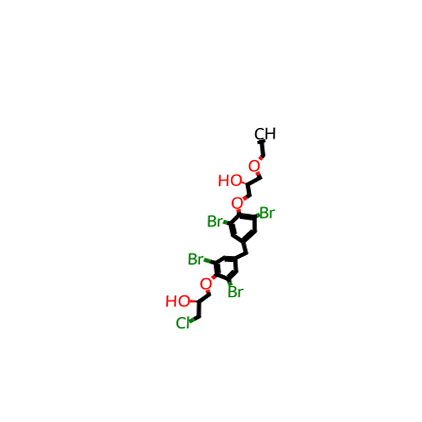 C#CCOC[C@@H](O)COc1c(Br)cc(Cc2cc(Br)c(OC[C@H](O)CCl)c(Br)c2)cc1Br